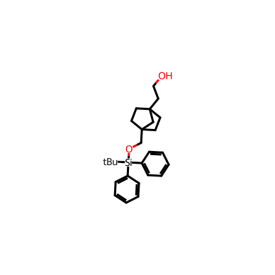 CC(C)(C)[Si](OCC12CCC(CCO)(CC1)C2)(c1ccccc1)c1ccccc1